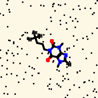 [2H]c1nc2c(c(=O)n(CCCC([2H])([2H])C(C)=O)c(=O)n2C)n1C